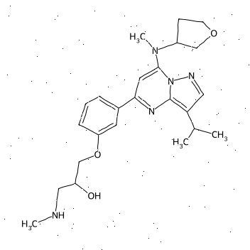 CNCC(O)COc1cccc(-c2cc(N(C)C3CCOC3)n3ncc(C(C)C)c3n2)c1